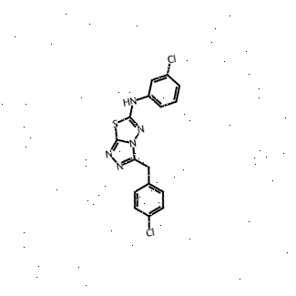 Clc1ccc(Cc2nnc3sc(Nc4cccc(Cl)c4)nn23)cc1